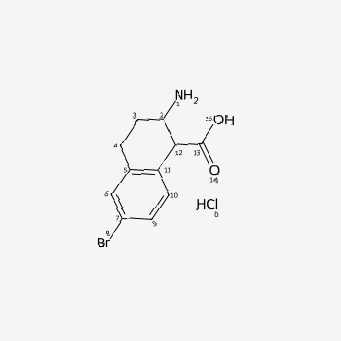 Cl.NC1CCc2cc(Br)ccc2C1C(=O)O